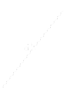 CCCCCCCCCCCCCCCCCC(Cl)OC(Cl)CCCCCCCCCCCCCCCCC